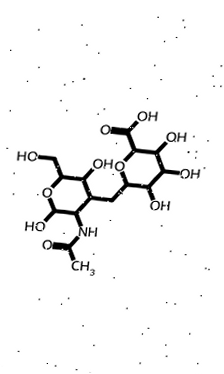 CC(=O)NC1C(O)OC(CO)C(O)C1CC1OC(C(=O)O)C(O)C(O)C1O